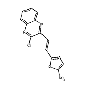 O=[N+]([O-])c1ccc(C=Cc2nc3ccccc3nc2Cl)o1